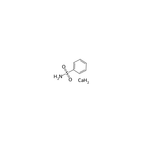 NS(=O)(=O)c1ccccc1.[CaH2]